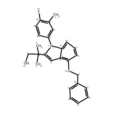 Cc1cc(-n2c(C(C)(C)CO)cc3c(OCc4ccccc4)cccc32)ccc1F